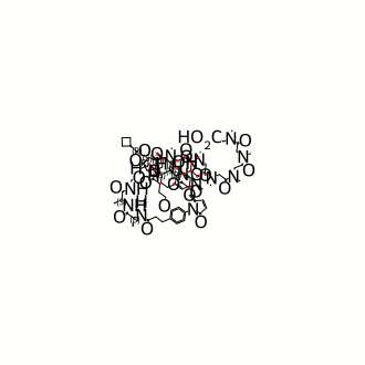 C[C@H](NC(=O)CCc1ccc(N2C(=O)C=CC2=O)cc1OCCCC(=O)N(C)CC(=O)N(C)CC(=O)N(C)CC(=O)N(C)CC(=O)N(C)CC(=O)N(C)CC(=O)N(C)CC(=O)N(C)CC(=O)N(C)CC(=O)N(C)CC(=O)O)C(=O)N[C@@H](C)C(=O)NCOCC(=O)[C@@]12O[C@H](C3CCC3)O[C@@H]1C[C@H]1[C@@H]3CCC4=CC(=O)C=C[C@]4(C)[C@H]3[C@@H](O)C[C@@]12C